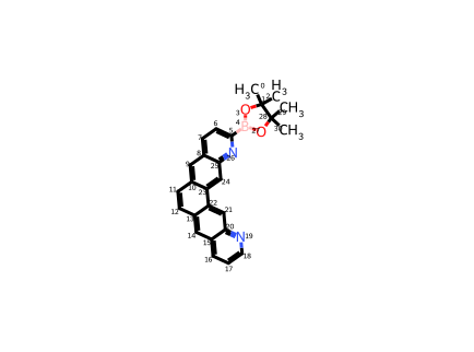 CC1(C)OB(c2ccc3cc4ccc5cc6cccnc6cc5c4cc3n2)OC1(C)C